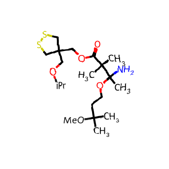 COC(C)(C)CCOC(C)(N)C(C)(C)C(=O)OCC1(COC(C)C)CSSC1